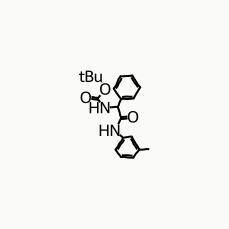 Cc1cccc(NC(=O)C(NC(=O)OC(C)(C)C)c2ccccc2)c1